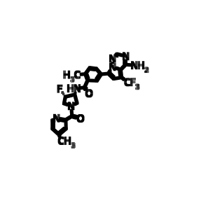 Cc1ccnc(C(=O)N2C[C@H](F)[C@H](NC(=O)c3cc(-c4cc(C(F)(F)F)c5c(N)ncnn45)ccc3C)C2)c1